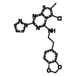 Cc1sc2nc(-n3cccn3)nc(NCCc3ccc4c(c3)OCO4)c2c1Cl